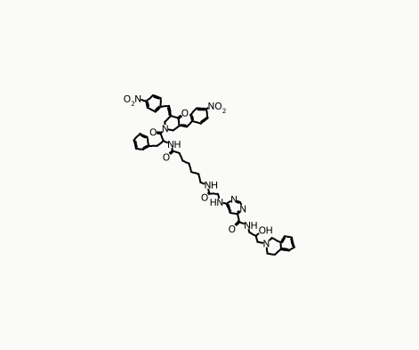 O=C(CNc1cc(C(=O)NCC(O)CN2CCc3ccccc3C2)ncn1)NCCCCCCC(=O)NC(Cc1ccccc1)C(=O)N1CC(=Cc2ccc([N+](=O)[O-])cc2)C(=O)C(=Cc2ccc([N+](=O)[O-])cc2)C1